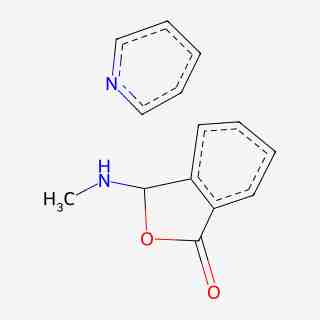 CNC1OC(=O)c2ccccc21.c1ccncc1